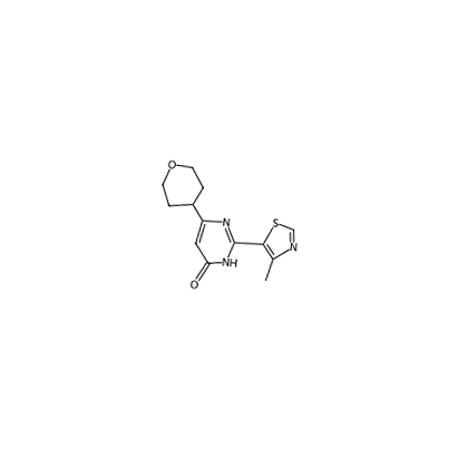 Cc1ncsc1-c1nc(C2CCOCC2)cc(=O)[nH]1